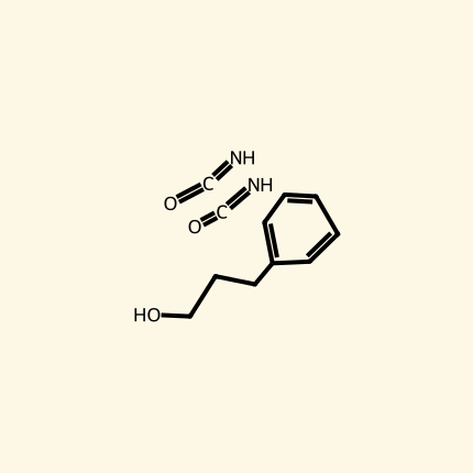 N=C=O.N=C=O.OCCCc1ccccc1